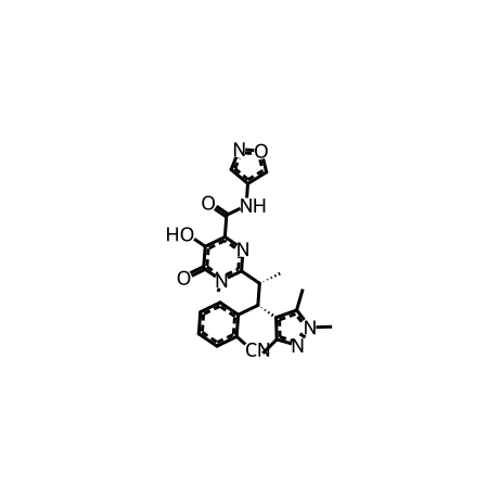 Cc1nn(C)c(C)c1[C@H](c1ccccc1C#N)[C@@H](C)c1nc(C(=O)Nc2cnoc2)c(O)c(=O)n1C